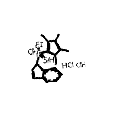 C[CH2][Ti](=[SiH2])([Cl])([C]1=C(C)C(C)=C(C)C1C)[CH]1C=Cc2ccccc21.Cl.Cl